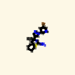 CC1(c2cnn(-c3cncc(Br)c3)c2)CC2(CCCCC2)SC(N)=N1